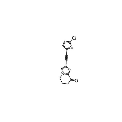 O=C1CCCn2cc(C#Cc3ccc(Cl)s3)cc21